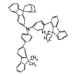 CC1(C)c2ccccc2-c2ccc(-c3ccc(N(c4ccc(-c5cccc6c5C(C)(C)c5ccccc5-6)cc4)c4ccc5c(c4)C4(CC6CCC4C6)c4ccccc4-5)cc3)cc21